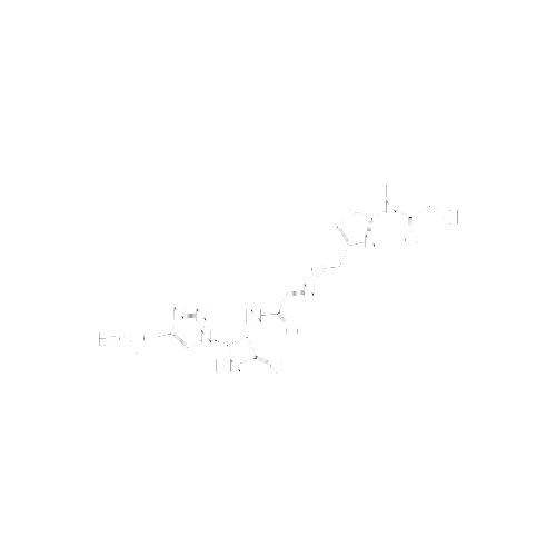 CCOC(=O)c1cn([C@@H]2NC(=O)[C@H]2NC(=O)C=NOCc2csc(NC(=O)CCl)n2)nn1